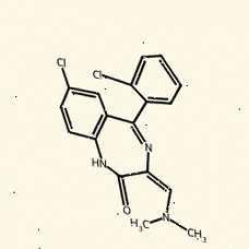 CN(C)C=C1N=C(c2ccccc2Cl)c2cc(Cl)ccc2NC1=O